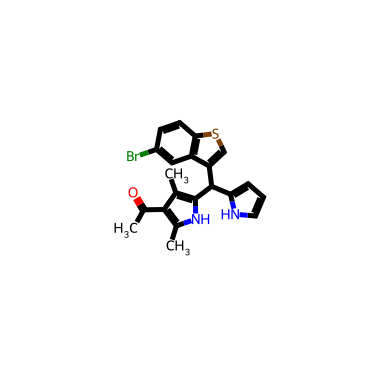 CC(=O)c1c(C)[nH]c(C(c2ccc[nH]2)c2csc3ccc(Br)cc23)c1C